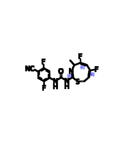 CC1/N=C(/NC(=O)Nc2cc(F)c(C#N)cc2F)SC/C=C(F)\C=C/1F